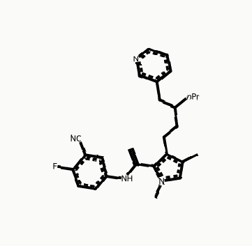 C=C(Nc1ccc(F)c(C#N)c1)c1c(CCC(CCC)Cc2cccnc2)c(C)cn1C